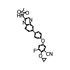 CS(=O)(=O)Nc1cnc2cc(-c3ccc(Oc4cc(F)c(OC5CC5)c(C#N)c4)cc3)ccc2n1